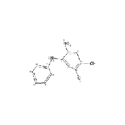 O=[N+]([O-])c1cc(Cl)c(Cl)cc1Nc1ccccc1